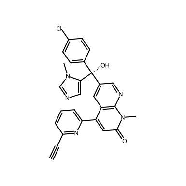 C#Cc1cccc(-c2cc(=O)n(C)c3ncc([C@](O)(c4ccc(Cl)cc4)c4cncn4C)cc23)n1